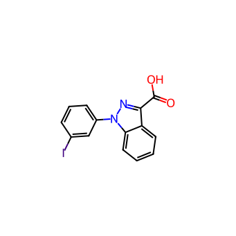 O=C(O)c1nn(-c2cccc(I)c2)c2ccccc12